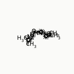 Cc1cc(C)c2nc3sc(C(=O)NCC4CCN(Cc5cccc6c5OC(C)(C)C6)CC4)cc3cc2c1